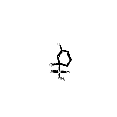 NS(=O)(=O)C1(Cl)C=C(Cl)C=CC1